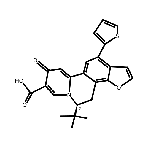 CC(C)(C)[C@@H]1Cc2c(cc(-c3cccs3)c3ccoc23)-c2cc(=O)c(C(=O)O)cn21